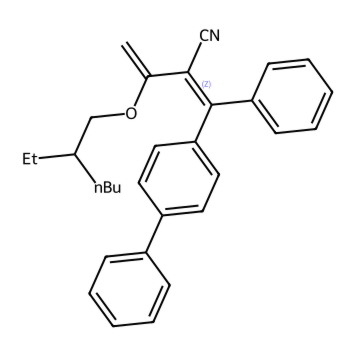 C=C(OCC(CC)CCCC)/C(C#N)=C(/c1ccccc1)c1ccc(-c2ccccc2)cc1